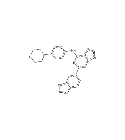 c1nc2c(Nc3ccc(N4CCOCC4)cc3)nc(-c3ccc4cn[nH]c4c3)cn2n1